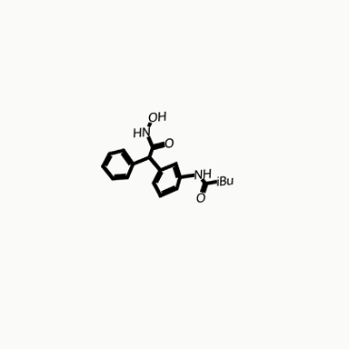 CCC(C)C(=O)Nc1cccc(C(C(=O)NO)c2ccccc2)c1